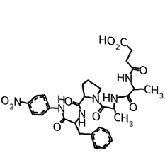 CC(NC(=O)CCC(=O)O)C(=O)NC(C)C(=O)N1CCCC1C(=O)NC(Cc1ccccc1)C(=O)Nc1ccc([N+](=O)[O-])cc1